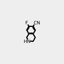 N#Cc1cc2c(cc1F)CNCC2